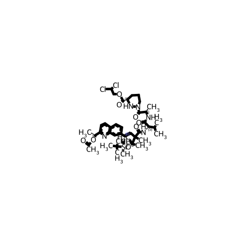 CC(=O)O[C@H](C)c1ccc2ccc(/C=C/C(C)(C(=O)N[C@H](C(=O)N[C@@H](C)C(=O)N3CCC[C@@H](C(=O)OCC(Cl)Cl)N3)C(C)C)C(C)(C)O[Si](C)(C)C(C)(C)C)cc2n1